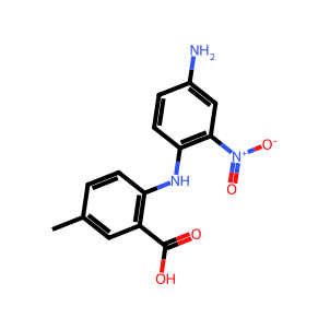 Cc1ccc(Nc2ccc(N)cc2[N+](=O)[O-])c(C(=O)O)c1